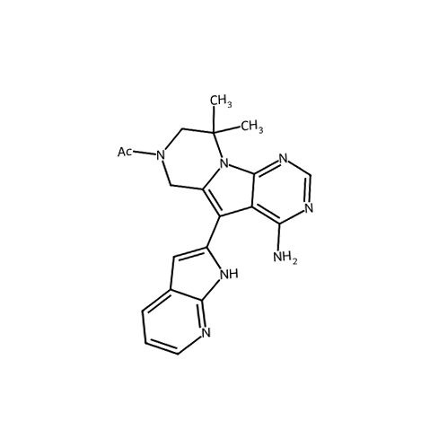 CC(=O)N1Cc2c(-c3cc4cccnc4[nH]3)c3c(N)ncnc3n2C(C)(C)C1